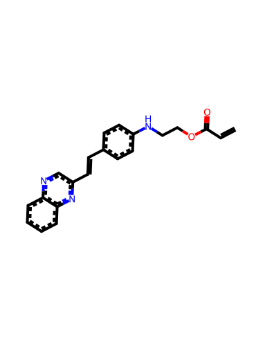 C=CC(=O)OCCNc1ccc(/C=C/c2cnc3ccccc3n2)cc1